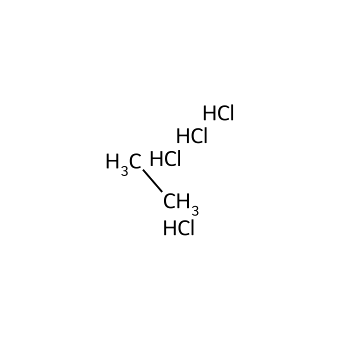 CC.Cl.Cl.Cl.Cl